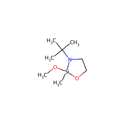 CO[Si]1(C)OCCN1C(C)(C)C